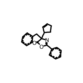 O=C1OC(c2ccccc2)=NC1(Cc1ccccc1)C1C=CCC1